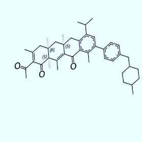 CC(=O)C1=C(C)C[C@@]2(C)C[C@@]3(C)Cc4c(C(C)C)cc(-c5ccc(CC6CCC(C)CC6)cc5)c(C)c4C(=O)C3=C(C)[C@@]2(C)C1=O